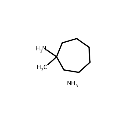 CC1(N)CCCCCC1.N